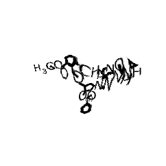 CCOC(=O)c1cccc(C)c1COCC1CC(n2cnc3c(NC(=O)NC4CC4)ncnc32)C2O[C@@H](c3ccccc3)OC12